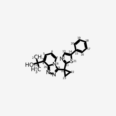 CC(C)(O)c1cccn2c(C3(c4ncc(-c5ccccc5)s4)CC3)nnc12